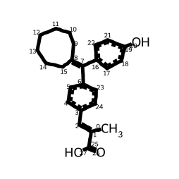 C/C(=C\c1ccc(C(=C2CCCCCCC2)c2ccc(O)cc2)cc1)C(=O)O